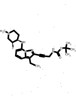 CCc1c(C#CCNC(=O)OC(C)(C)C)nn2c(N[C@@H]3CCN(C)C[C@@H]3F)cccc12